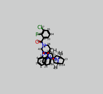 Cc1nc2ccccc2n1C1C[C@H]2CC[C@@H](C1)N2CCC1(c2ccccc2)CCN(C(=O)c2cccc(Cl)c2F)CC1